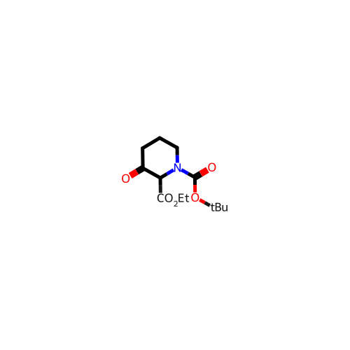 CCOC(=O)C1C(=O)CCCN1C(=O)OC(C)(C)C